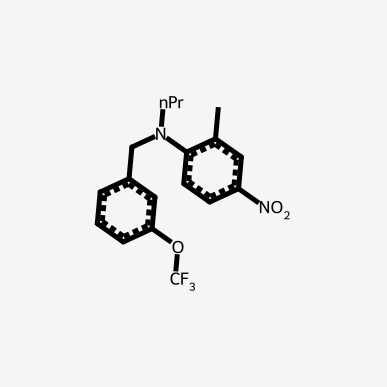 CCCN(Cc1cccc(OC(F)(F)F)c1)c1ccc([N+](=O)[O-])cc1C